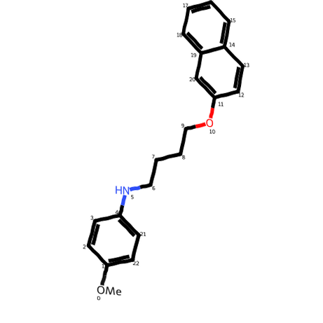 COc1ccc(NCCCCOc2ccc3ccccc3c2)cc1